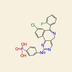 O=P(O)(O)c1ccc(Nc2ncc3c(n2)-c2ccc(Cl)cc2C(c2ccccc2F)=NC3)cc1